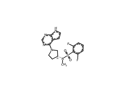 CN([C@@H]1CCN(c2ncnc3[nH]ccc23)C1)S(=O)(=O)c1c(F)cccc1F